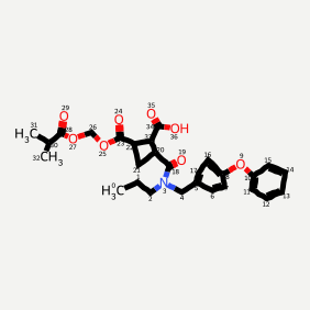 CCCN(Cc1ccc(Oc2ccccc2)cc1)C(=O)C1CC(C(=O)OCOC(=O)C(C)C)C1C(=O)O